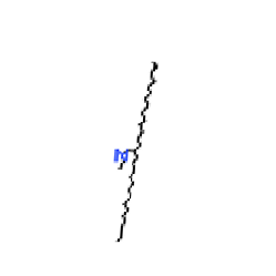 CCCCCCCCCCCCCCC(CCCCCCCCCCCCCC)CN(C)CC